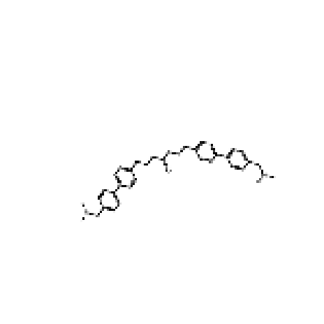 CN(C)Cc1ccc(-c2ccc(CCCC(=O)CCCc3ccc(-c4ccc(CN(C)C)cc4)cc3)cc2)cc1